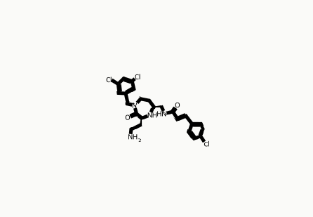 NCC[C@@H]1N[C@H](CNC(=O)/C=C/c2ccc(Cl)cc2)CCN(Cc2cc(Cl)cc(Cl)c2)C1=O